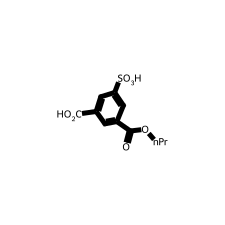 CCCOC(=O)c1cc(C(=O)O)cc(S(=O)(=O)O)c1